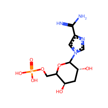 N=C(N)c1cn(C2OC(COP(=O)(O)O)[C@H](O)C[C@H]2O)cn1